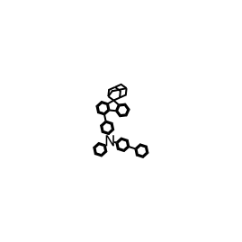 c1ccc(-c2ccc(N(c3ccccc3)c3ccc(-c4cccc5c4-c4ccccc4C54C5CC6CC(C5)CC4C6)cc3)cc2)cc1